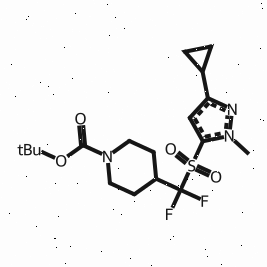 Cn1nc(C2CC2)cc1S(=O)(=O)C(F)(F)C1CCN(C(=O)OC(C)(C)C)CC1